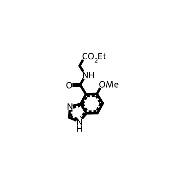 CCOC(=O)CNC(=O)c1c(OC)ccc2[nH]cnc12